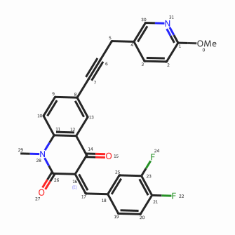 COc1ccc(CC#Cc2ccc3c(c2)C(=O)/C(=C\c2ccc(F)c(F)c2)C(=O)N3C)cn1